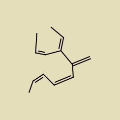 C=C(/C=C\C=C/C)C(/C=C\C)=C/C